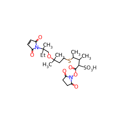 CCC(C)(COC(C)(C)CCSC(C)C(C)C(C(=O)ON1C(=O)CCC1=O)S(=O)(=O)O)N1C(=O)C=CC1=O